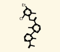 C=C(C)c1cccc(-c2cccc(C(=C)Cc3c(C)cc(CC)cc3Cl)c2C)c1C